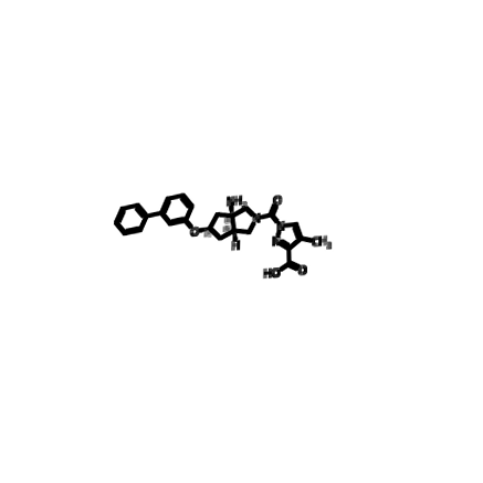 Cc1cn(C(=O)N2C[C@@H]3C[C@@H](Oc4cccc(-c5ccccc5)c4)C[C@]3(N)C2)nc1C(=O)O